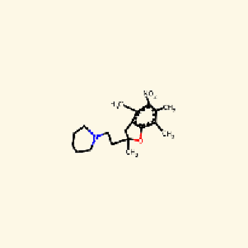 Cc1c(C)c([N+](=O)[O-])c(C)c2c1OC(C)(CCN1CCCCC1)C2